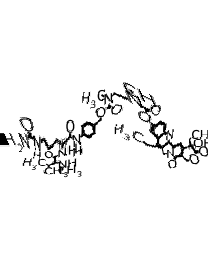 CCc1c2c(nc3ccc(OC(=O)N(C)CCN(C)C(=O)OCc4ccc(NC(=O)[C@H](CCCNC(N)=O)NC(=O)[C@@H](NC)C(C)C)cc4)cc13)-c1cc3c(c(=O)n1C2)COC(=O)[C@]3(O)CC